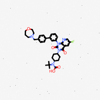 CC(C)(C)N(C(=O)O)[C@H]1CC[C@@H](n2c(=O)c3cc(F)cnc3n(-c3cccc(-c4ccc(CN5CCCOCC5)cc4)c3)c2=O)CC1